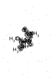 COCCN1C[C@@H](NC(=O)Nc2c(C)c(-c3cnc(OC)c(C(=O)NC4CCS(=O)(=O)CC4)c3)nn2-c2ccccc2)[C@H](c2cnc(OC)c(F)c2)O1